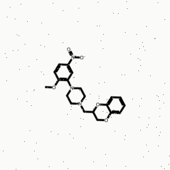 COc1ccc([N+](=O)[O-])cc1N1CCN(CC2COc3ccccc3O2)CC1